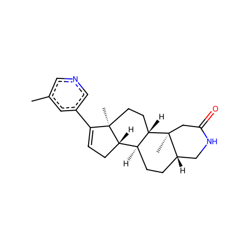 Cc1cncc(C2=CC[C@H]3[C@@H]4CC[C@H]5CNC(=O)C[C@]5(C)[C@H]4CC[C@]23C)c1